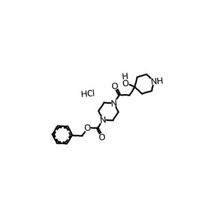 Cl.O=C(CC1(O)CCNCC1)N1CCN(C(=O)OCc2ccccc2)CC1